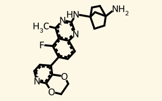 Cc1nc(NC23CCC(N)(CC2)C3)nc2ccc(-c3ccnc4c3OCCO4)c(F)c12